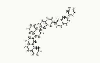 c1ccc(-c2ccc3ccc(-c4ccc5ccc(-c6ccc(-c7ccc8ccc9cccnc9c8n7)c7ccccc67)nc5c4)cc3n2)nc1